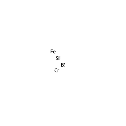 [B].[Cr].[Fe].[Si]